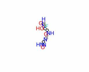 Cn1c(=O)[nH]c2ccc(N3CCC(CC(=O)Nc4ccc5c(F)c(N6CC(=O)NS6)c(O)cc5c4)CC3)cc21